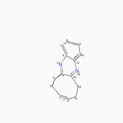 C1=C\CCc2nc3ccccc3nc2CC/1